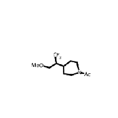 COCC(C1CCN(C(C)=O)CC1)C(F)(F)F